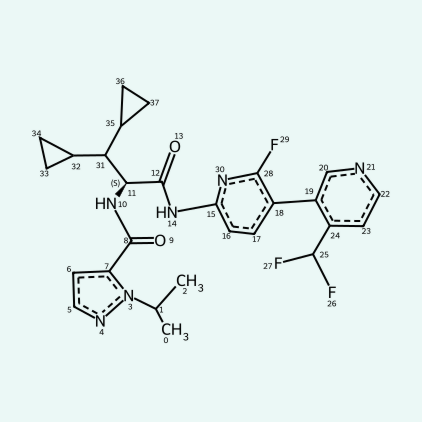 CC(C)n1nccc1C(=O)N[C@H](C(=O)Nc1ccc(-c2cnccc2C(F)F)c(F)n1)C(C1CC1)C1CC1